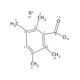 Cc1cc(C)c(C)c(C(=O)[O-])c1C.[Tl+]